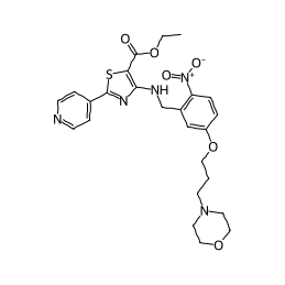 CCOC(=O)c1sc(-c2ccncc2)nc1NCc1cc(OCCCN2CCOCC2)ccc1[N+](=O)[O-]